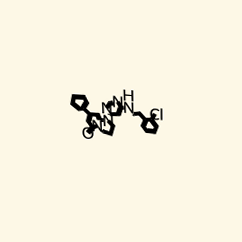 O=c1cc(-c2ccccc2)cc2n1CCCN2c1cc(NCCc2ccccc2Cl)ncn1